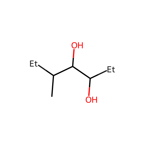 CCC(C)C(O)C(O)CC